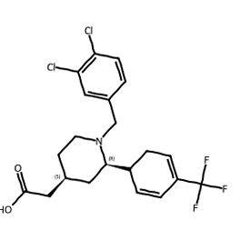 O=C(O)C[C@H]1CCN(Cc2ccc(Cl)c(Cl)c2)[C@@H](C2C=CC(C(F)(F)F)=CC2)C1